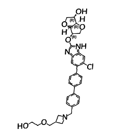 OCCOCC1CN(Cc2ccc(-c3ccc(-c4cc5nc(O[C@@H]6CO[C@H]7[C@@H]6OC[C@H]7O)[nH]c5cc4Cl)cc3)cc2)C1